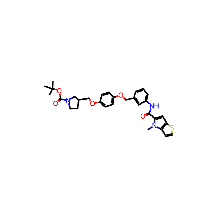 Cn1c(C(=O)Nc2cccc(COc3ccc(OCC4CCN(C(=O)OC(C)(C)C)C4)cc3)c2)cc2sccc21